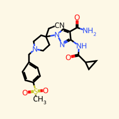 CS(=O)(=O)c1ccc(CN2CCC(CC#N)(n3cc(C(N)=O)c(NC(=O)C4CC4)n3)CC2)cc1